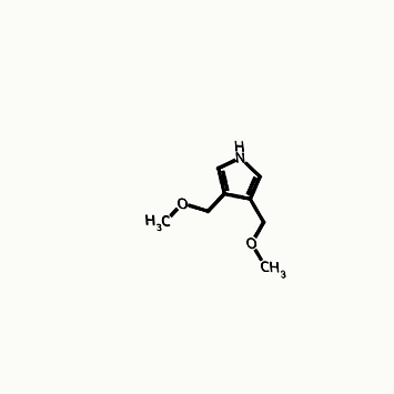 COCc1c[nH]cc1COC